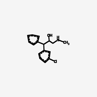 CNCC(O)C(c1ccccc1)c1cccc(Cl)c1